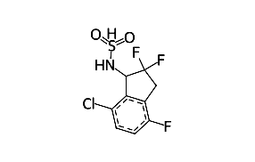 O=[SH](=O)NC1c2c(Cl)ccc(F)c2CC1(F)F